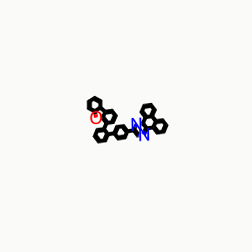 C1=CC2Oc3c(-c4ccccc4-c4ccc(-c5cnc6c7ccccc7c7ccccc7c6n5)cc4)cccc3C2C=C1